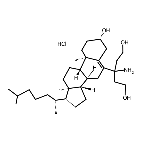 CC(C)CCC[C@@H](C)[C@H]1CC[C@H]2[C@@H]3CC(C(N)(CCO)CCO)=C4C[C@@H](O)CC[C@]4(C)[C@H]3CC[C@]12C.Cl